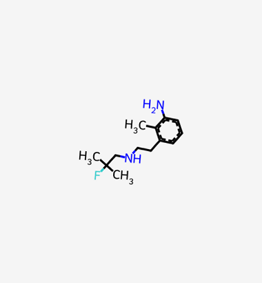 Cc1c(N)cccc1CCNCC(C)(C)F